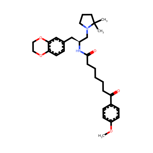 COc1ccc(C(=O)CCCCCC(=O)N[C@@H](Cc2ccc3c(c2)OCCO3)CN2CCCC2(C)C)cc1